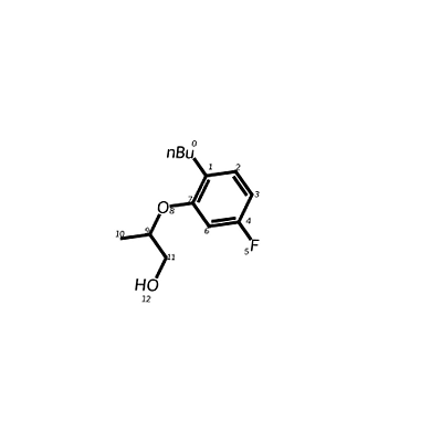 CCCCc1ccc(F)cc1OC(C)CO